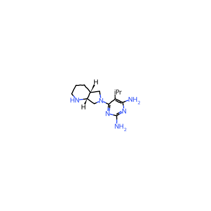 CC(C)c1c(N)nc(N)nc1N1C[C@H]2CCCN[C@H]2C1